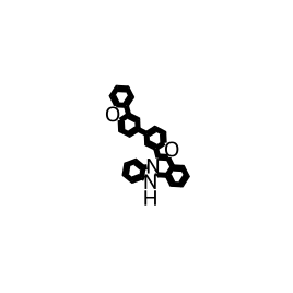 c1ccc2c(c1)NC1c3ccccc3-c3oc4ccc(-c5ccc6oc7ccccc7c6c5)cc4c3N21